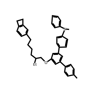 CCC(CCCCc1ccc2c(c1)CC2)COc1cc(-c2ccc(C)cc2)cc(-c2ccc(N(C)c3ccccc3)cc2)c1